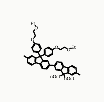 CCCCCCCCC1(CCCCCCCC)c2cc(C)ccc2-c2ccc(-c3ccc4c(c3)C(c3ccc(OCCOCC)cc3)(c3ccc(OCCOCC)cc3)c3cc(C)ccc3-4)cc21